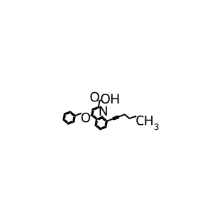 CCCCC#Cc1cccc2c(OCc3ccccc3)cc(C(=O)O)nc12